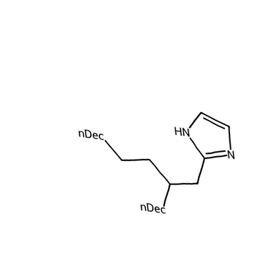 CCCCCCCCCCCCC(CCCCCCCCCC)Cc1ncc[nH]1